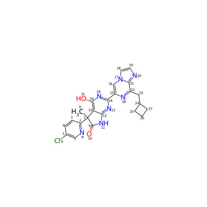 CC1(c2ccc(Cl)cn2)C(=O)Nc2nc(-c3cn4ccnc4c(CC4CCC4)n3)nc(O)c21